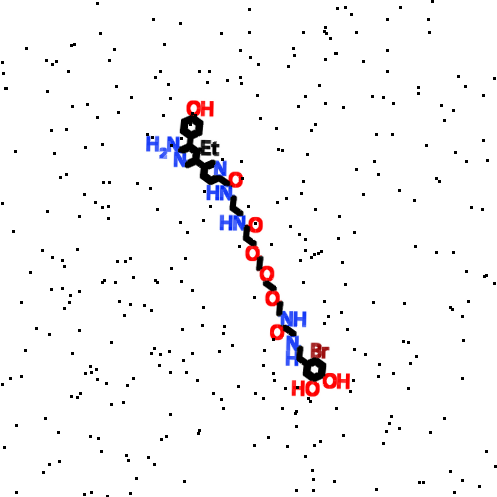 CCc1c(-c2ccc(C(=O)NCCCNC(=O)CCOCCOCCOCCNC(=O)CNCCc3cc(O)c(O)cc3Br)nc2)cnc(N)c1-c1ccc(O)cc1